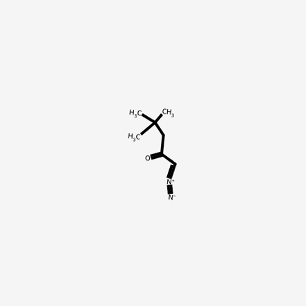 CC(C)(C)CC(=O)C=[N+]=[N-]